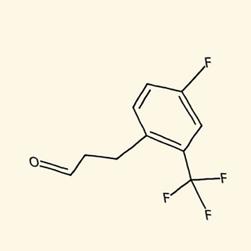 O=CCCc1ccc(F)cc1C(F)(F)F